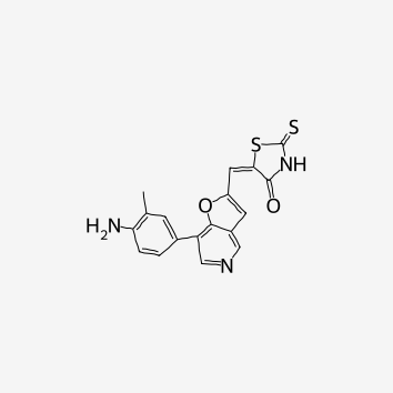 Cc1cc(-c2cncc3cc(C=C4SC(=S)NC4=O)oc23)ccc1N